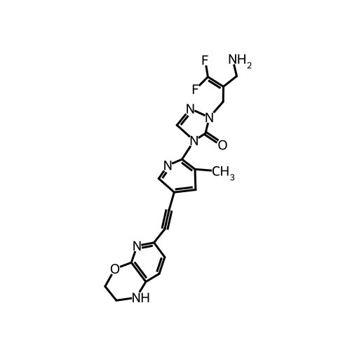 Cc1cc(C#Cc2ccc3c(n2)OCCN3)cnc1-n1cnn(CC(CN)=C(F)F)c1=O